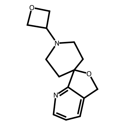 c1cnc2c(c1)COC21CCN(C2COC2)CC1